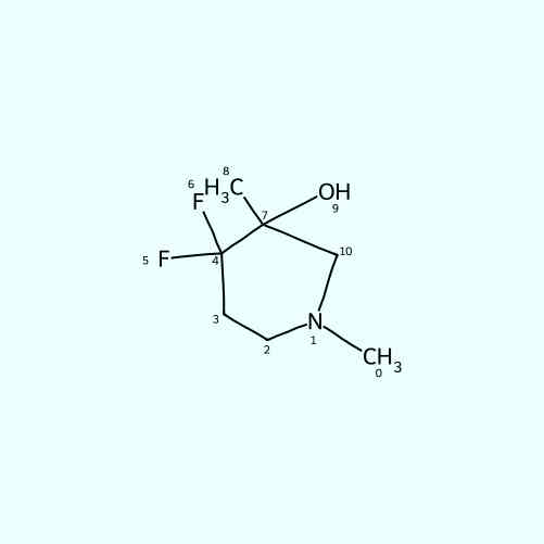 CN1CCC(F)(F)C(C)(O)C1